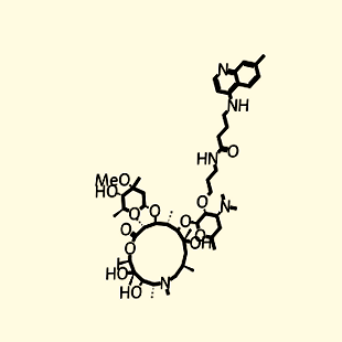 CO[C@]1(C)C[C@H](O[C@H]2[C@H](C)[C@@H](O[C@@H]3OC(C)C[C@H](N(C)C)[C@H]3OCCCNC(=O)CCCNc3ccnc4cc(C)ccc34)[C@](C)(O)C[C@@H](C)CN(C)[C@H](C)[C@@H](O)[C@](C)(O)[C@@H](I)OC(=O)[C@@H]2C)O[C@@H](C)[C@@H]1O